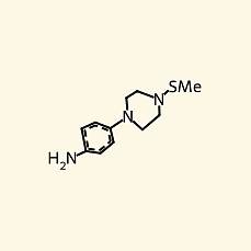 CSN1CCN(c2ccc(N)cc2)CC1